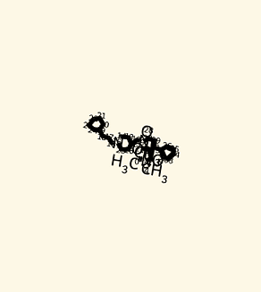 CC(C)N(C)C(=O)c1cn(CC2(O)CCN(CCCC3CCCCC3)CC2)c(=O)cc1-c1ccccc1